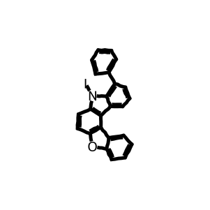 In1c2ccc3oc4ccccc4c3c2c2cccc(-c3ccccc3)c21